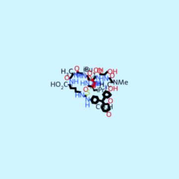 CC[C@H](C)[C@H](NC(=O)[C@H](CC(N)=O)NC(=O)[C@H](CC(C)C)NC(=O)[C@H](CO)NC(=O)C(CO)NC(=O)[C@H](C)NC)C(=O)N[C@@H](C)C(=O)N[C@@H](CCCCNC(=S)Nc1ccc(-c2c3ccc(=O)cc-3oc3cc(O)ccc23)c(C(=O)O)c1)C(=O)O